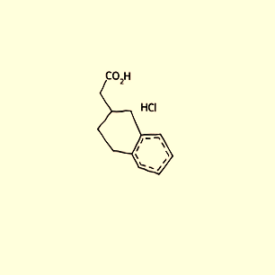 Cl.O=C(O)CC1CCc2ccccc2C1